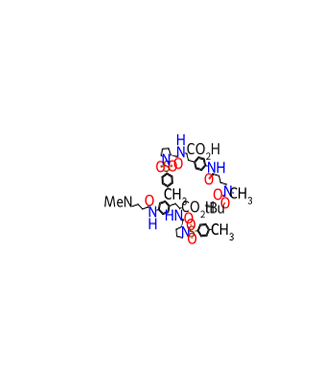 CNCCCC(=O)Nc1ccc(C[C@H](NC(=O)[C@@H]2CCCN2S(=O)(=O)c2ccc(C)cc2)C(=O)O)cc1.Cc1ccc(S(=O)(=O)N2CCC[C@H]2C(=O)N[C@@H](Cc2ccc(NC(=O)CCCN(C)C(=O)OC(C)(C)C)cc2)C(=O)O)cc1